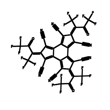 N#CC1=c2c3c(c4c(c2=C(C#N)C1=C(C(=O)C(F)(F)F)C(F)(F)F)=C(C#N)C(=C(C(=O)C(F)(F)F)C(F)(F)F)C=4C#N)=C(C#N)C(=C(C(=O)C(F)(F)F)C(F)(F)F)C=3C#N